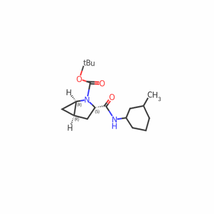 CC1CCCC(NC(=O)[C@@H]2C[C@H]3C[C@H]3N2C(=O)OC(C)(C)C)C1